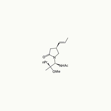 CC=C[C@@H]1CC(=O)N([C@@H](NC(C)=O)[C@](C)(CCC)OC)C1